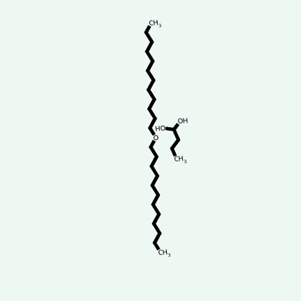 CCCC(O)O.CCCCCCCCCCCCOCCCCCCCCCCCC